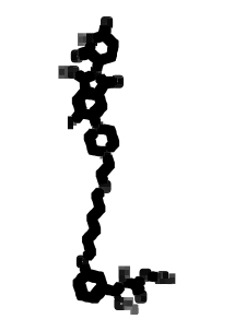 C[C@@H](NC(=O)OC(C)(C)C)c1cccc(OCCCCCCOCCN2CCN(c3cc4c(cc3F)C(O)N(C3CCC(=O)NC3=O)C4=O)CC2)c1